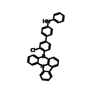 Clc1cc(-c2ccc(Nc3ccccc3)cc2)ccc1B1c2ccccc2-n2c3ccccc3c3cccc1c32